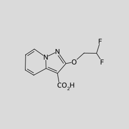 O=C(O)c1c(OCC(F)F)nn2ccccc12